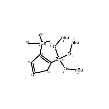 CCCC[O][Zr]([O]CCCC)([O]CCCC)[C]1=[C]([Ge]([CH3])([CH3])[CH3])C=CC1